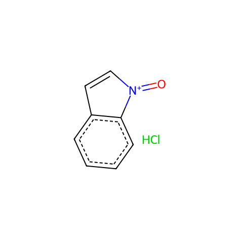 Cl.O=[N+]1C=Cc2ccccc21